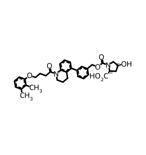 Cc1cccc(OCCCC(=O)N2CCCc3c(-c4cccc(COC(=O)N5C[C@@H](O)C[C@H]5C(=O)O)c4)cccc32)c1C